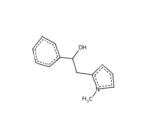 Cn1cccc1CC(O)c1ccccc1